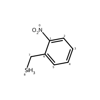 O=[N+]([O-])c1ccccc1C[SiH3]